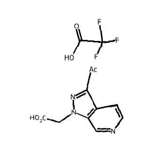 CC(=O)c1nn(CC(=O)O)c2cnccc12.O=C(O)C(F)(F)F